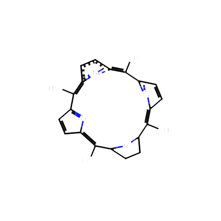 CC1=C2C=CC(=N2)C(C)=c2ccc([nH]2)=C(C)C2=NC(=C(C)C3CCC1N3)C=C2